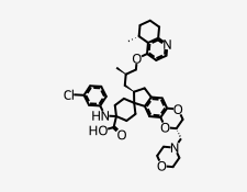 C[C@@H](COc1ccnc2c1[C@H](C)CCC2)C[C@H]1Cc2cc3c(cc2C12CCC(Nc1cccc(Cl)c1)(C(=O)O)CC2)O[C@@H](CN1CCOCC1)CO3